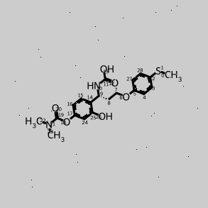 CSc1ccc(OCC[C@@H](NC(=O)O)c2ccc(OC(=O)N(C)C)cc2O)cc1